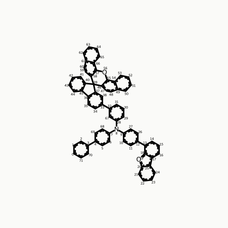 c1ccc(-c2ccc(N(c3ccc(-c4cccc5c4oc4ccccc45)cc3)c3cccc(-c4ccc5c(c4)C4(c6ccccc6-5)c5ccc6ccccc6c5Oc5c4ccc4ccccc54)c3)cc2)cc1